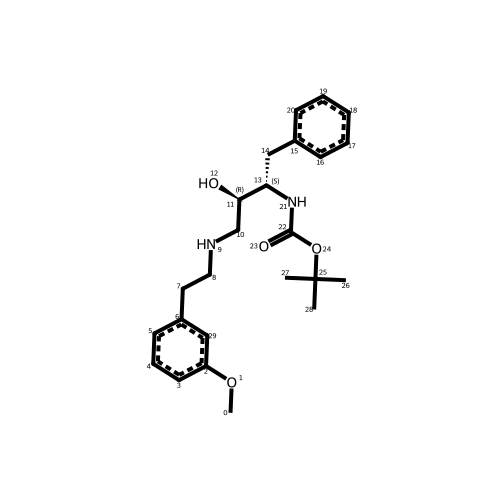 COc1cccc(CCNC[C@@H](O)[C@H](Cc2ccccc2)NC(=O)OC(C)(C)C)c1